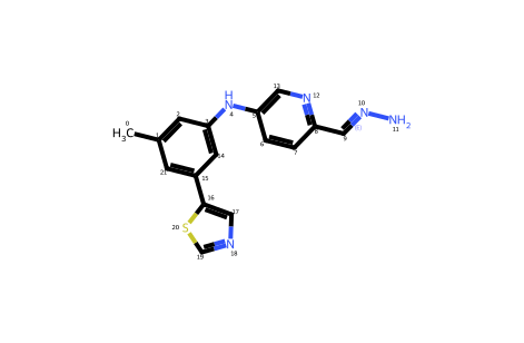 Cc1cc(Nc2ccc(/C=N/N)nc2)cc(-c2cncs2)c1